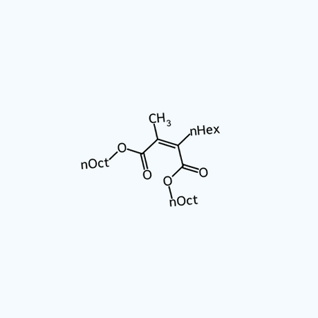 CCCCCCCCOC(=O)/C(C)=C(/CCCCCC)C(=O)OCCCCCCCC